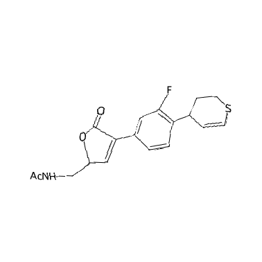 CC(=O)NCC1C=C(c2ccc(C3C=CSCC3)c(F)c2)C(=O)O1